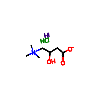 C[N+](C)(C)CC(O)CC(=O)[O-].Cl.I